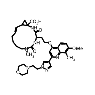 COc1ccc2c(OCCC3NC(=O)N(C)CCCC/C=C/C4CC4(C(=O)O)NC3=O)cc(-c3cnn(CCN4CCOCC4)c3)nc2c1C